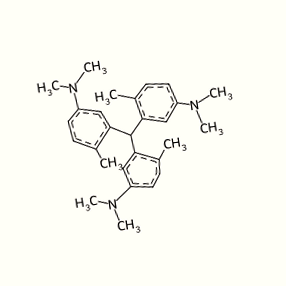 Cc1ccc(N(C)C)cc1C(c1cc(N(C)C)ccc1C)c1cc(N(C)C)ccc1C